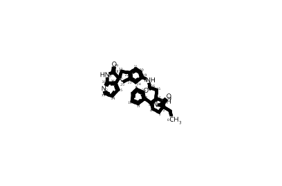 CCC12CCC(c3ccccc3)(CN1)N(CC(=O)Nc1ccc3c(c1)C[C@@]1(C3)C(=O)Nc3ncccc31)C2=O